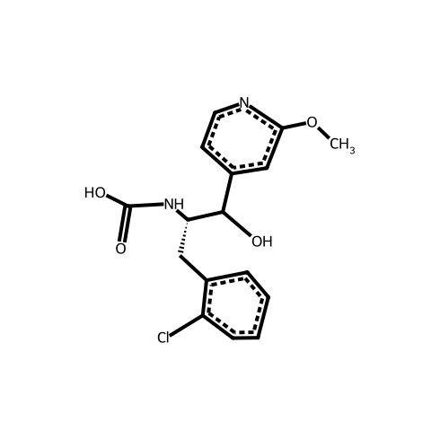 COc1cc(C(O)[C@H](Cc2ccccc2Cl)NC(=O)O)ccn1